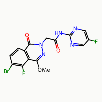 COc1nn(CC(=O)Nc2ncc(F)cn2)c(=O)c2ccc(Br)c(F)c12